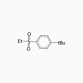 CCS(=O)(=O)c1ccc(C(C)(C)C)cc1